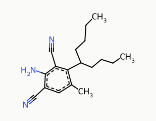 CCCCC(CCCC)c1c(C)cc(C#N)c(N)c1C#N